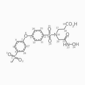 CS(=O)(=O)c1ccc(Oc2ccc(S(=O)(=O)N(CCC(=O)O)CC(=O)NO)cc2)cc1